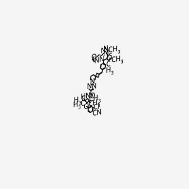 Cc1sc2c(c1C)C(c1ccc(C=C3CC4(CCCN(c5ncc(C(=O)NC6C(C)(C)C(Oc7ccc(C#N)c(Cl)c7)C6(C)C)cn5)C4)C3)cc1)=N[C@@H](Cc1ncco1)c1nnc(C)n1-2